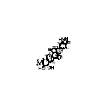 CN(C)[C@H]1C[C@@]23CC[C@@]4(O2)C(=CC(C)(C)[C@]2(C)C(c5ccc6cn[nH]c6c5)=CCC42)C=C3[C@@H](O)[C@@H]1O